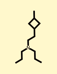 CCCN(CCC)CCC1CC(C)C1